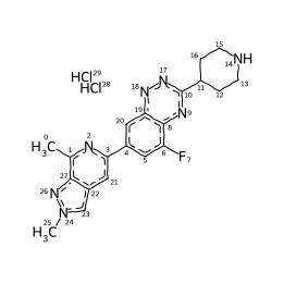 Cc1nc(-c2cc(F)c3nc(C4CCNCC4)nnc3c2)cc2cn(C)nc12.Cl.Cl